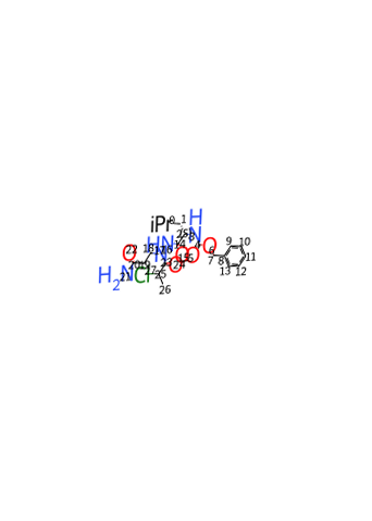 CC(C)C[C@H](NC(=O)OCc1ccccc1)C(=O)NN(CCC(N)=O)C(=O)C(C)Cl